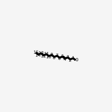 CCCC/C=C/CCCCCCCCCC